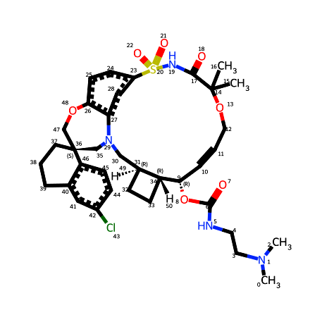 CN(C)CCNC(=O)O[C@H]1C=CCOC(C)(C)C(=O)NS(=O)(=O)c2ccc3c(c2)N(C[C@@H]2CC[C@H]21)C[C@@]1(CCCc2cc(Cl)ccc21)CO3